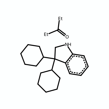 CCC(=O)CC.c1ccc2c(c1)NCC2(C1CCCCC1)C1CCCCC1